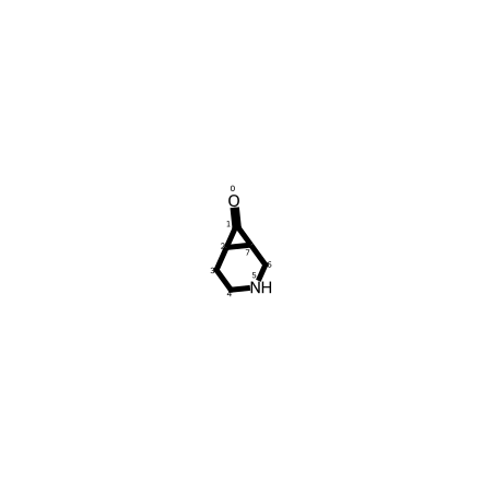 O=C1C2CCNCC12